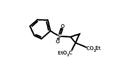 CCOC(=O)C1(C(=O)OCC)CC1S(=O)(=O)c1ccccc1